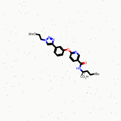 COCCn1cc(-c2cccc(Oc3ccc(C(=O)N[C@@H](CCC(C)(C)C)C(=O)O)cn3)c2)nn1